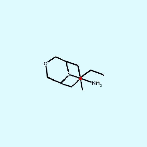 CCC(C)N1C2COCC1CC(N)C2